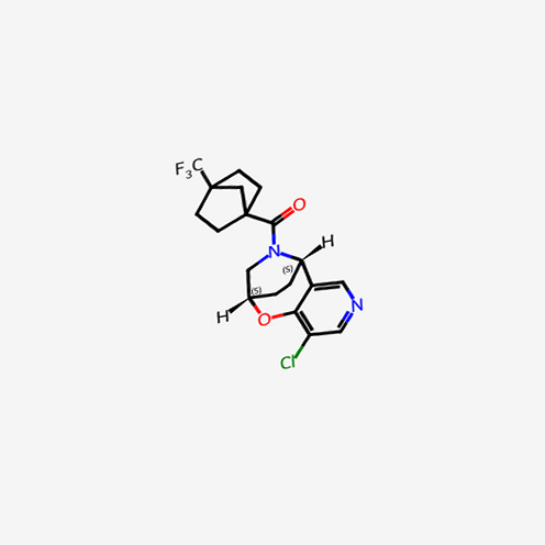 O=C(N1C[C@@H]2CC[C@H]1c1cncc(Cl)c1O2)C12CCC(C(F)(F)F)(CC1)C2